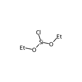 CCO[Si](Cl)OCC